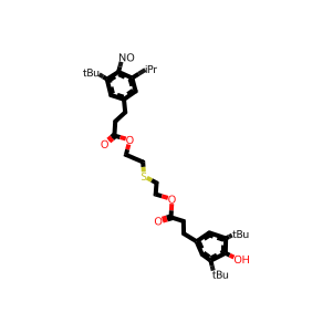 CC(C)c1cc(CCC(=O)OCCSCCOC(=O)CCc2cc(C(C)(C)C)c(O)c(C(C)(C)C)c2)cc(C(C)(C)C)c1N=O